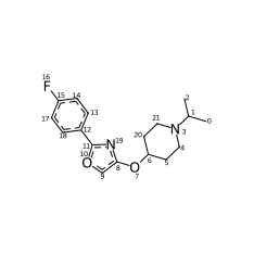 CC(C)N1CCC(Oc2coc(-c3ccc(F)cc3)n2)CC1